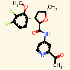 COc1c([C@@H]2C[C@H](C)O[C@H]2C(=O)Nc2ccnc(C(C)=O)c2)ccc(F)c1F